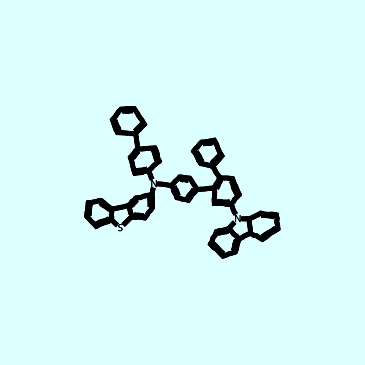 C1=CC2c3ccccc3N(c3ccc(-c4ccccc4)c(-c4ccc(N(c5ccc(-c6ccccc6)cc5)c5ccc6sc7ccccc7c6c5)cc4)c3)C2C=C1